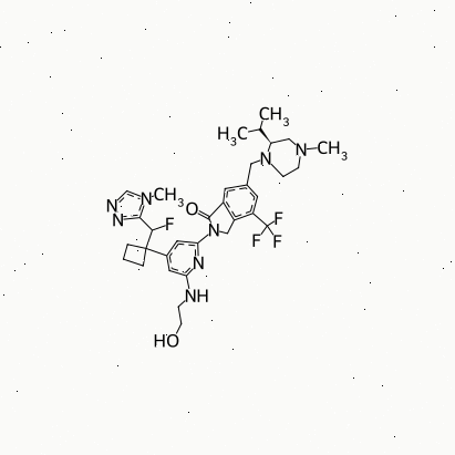 CC(C)[C@H]1CN(C)CCN1Cc1cc2c(c(C(F)(F)F)c1)CN(c1cc(C3(C(F)c4nncn4C)CCC3)cc(NCCO)n1)C2=O